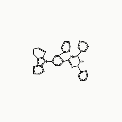 C1=Cc2c(c3ccccc3n2-c2ccc(C3=NC(c4ccccc4)NC(c4ccccc4)=N3)c(-c3ccccc3)c2)CC1